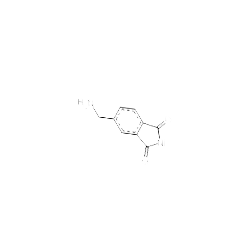 NCc1ccc2c(c1)C(=O)NC2=O